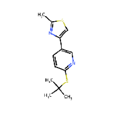 Cc1nc(-c2ccc(SC(C)(C)C)nc2)cs1